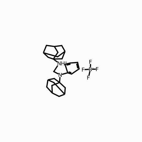 F[B-](F)(F)F.c1ccc2c(c1)N(C13CC4CC(CC(C4)C1)C3)C[NH+]2C12CC3CC(CC(C3)C1)C2